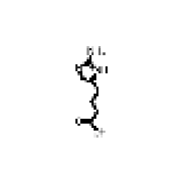 Nc1ncc(CCCC(=O)O)[nH]1